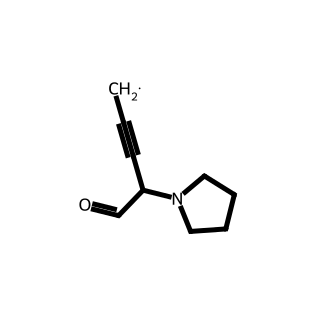 [CH2]C#CC(C=O)N1CCCC1